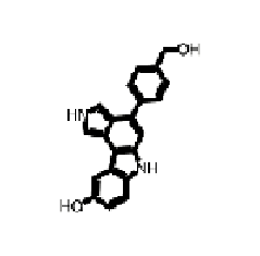 OCc1ccc(-c2cc3[nH]c4ccc(O)cc4c3c3c[nH]cc23)cc1